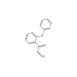 C=CC(=O)c1ccccc1Sc1ccccc1